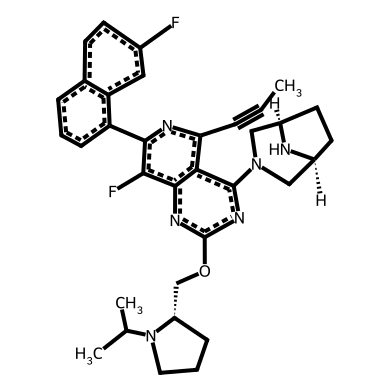 CC#Cc1nc(-c2cccc3ccc(F)cc23)c(F)c2nc(OC[C@@H]3CCCN3C(C)C)nc(N3C[C@H]4CC[C@@H](C3)N4)c12